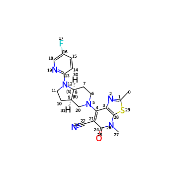 Cc1nc2c(N3CC[C@H]4[C@H](CCN4c4ccc(F)cn4)C3)c(C#N)c(=O)n(C)c2s1